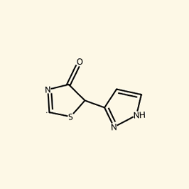 O=C1N=[C]SC1c1cc[nH]n1